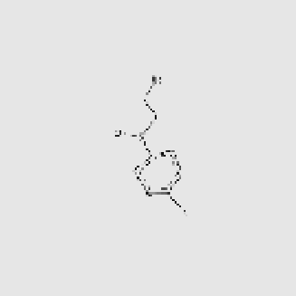 Cc1ccc([S+]([O-])CCBr)cc1